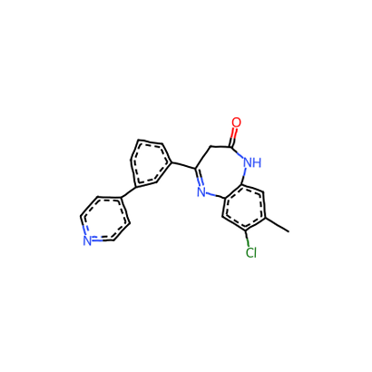 Cc1cc2c(cc1Cl)N=C(c1cccc(-c3ccncc3)c1)CC(=O)N2